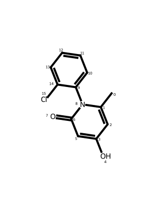 Cc1cc(O)cc(=O)n1-c1ccccc1Cl